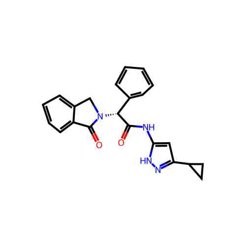 O=C(Nc1cc(C2CC2)n[nH]1)[C@@H](c1ccccc1)N1Cc2ccccc2C1=O